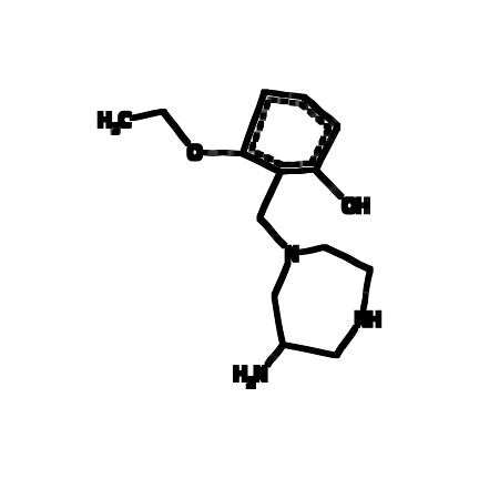 CCOc1cccc(O)c1CN1CCNCC(N)C1